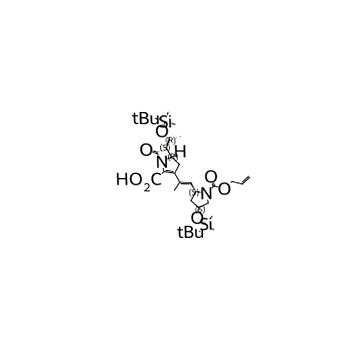 C=CCOC(=O)N1C[C@@H](O[Si](C)(C)C(C)(C)C)C[C@H]1C=C(C)C1=C(C(=O)O)N2C(=O)[C@H]([C@@H](C)O[Si](C)(C)C(C)(C)C)[C@H]2C1